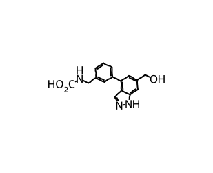 O=C(O)NCc1cccc(-c2cc(CO)cc3[nH]ncc23)c1